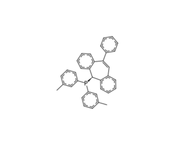 Cc1cccc(P(c2cccc(C)c2)[C@@H]2c3ccccc3C=C(c3ccccc3)c3ccccc32)c1